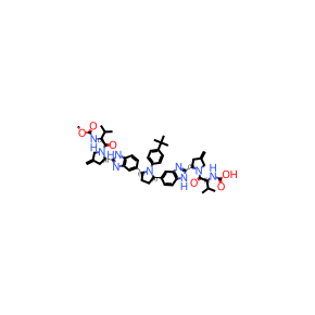 C=C1C[C@@H](c2nc3cc([C@H]4CC[C@H](c5ccc6[nH]c([C@@H]7CC(=C)CN7C(=O)[C@@H](NC(=O)OC)C(C)C)nc6c5)N4c4ccc(C(C)(C)C)cc4)ccc3[nH]2)N(C(=O)[C@@H](NC(=O)O)C(C)C)C1